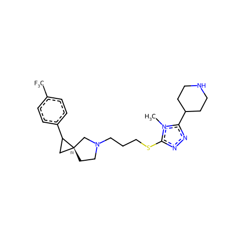 Cn1c(SCCCN2CC[C@]3(CC3c3ccc(C(F)(F)F)cc3)C2)nnc1C1CCNCC1